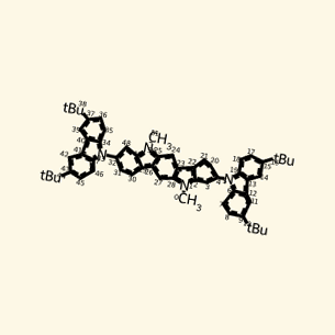 Cn1c2cc(-n3c4ccc(C(C)(C)C)cc4c4cc(C(C)(C)C)ccc43)ccc2c2cc3c(cc21)c1ccc(-n2c4ccc(C(C)(C)C)cc4c4cc(C(C)(C)C)ccc42)cc1n3C